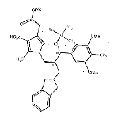 COC(=O)Cc1cn(C[C@H](CC2Cc3ccccc3C2)[C@H](O[Si](C)(C)C(C)(C)C)c2cc(OC)c(C)c(OC)c2)c(C)c1C(=O)O